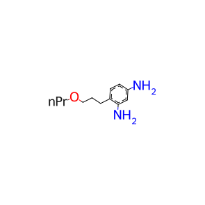 CCCOCCCc1ccc(N)cc1N